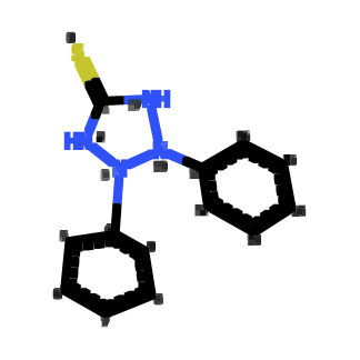 S=C1NN(c2ccccc2)N(c2ccccc2)N1